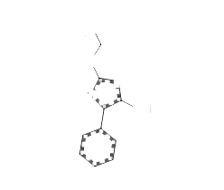 [CH2]CSc1nc(-c2ccccc2)c(O)s1